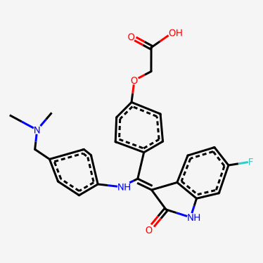 CN(C)Cc1ccc(N/C(=C2\C(=O)Nc3cc(F)ccc32)c2ccc(OCC(=O)O)cc2)cc1